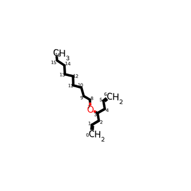 C=CCC(CC=C)OCCCCCCCCC